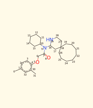 Cc1ccc(OCC(=O)N(C2CCCCC2)C2CC3(CCCCCCCC3)CCN2)c(C)c1